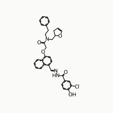 O=C(N/N=C/c1ccc(OCC(=O)N(CCc2ccccc2)CC2CC=CO2)c2ccccc12)c1ccc(O)c(Cl)c1